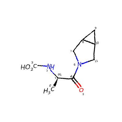 C[C@@H](NC(=O)O)C(=O)N1CC2CC2C1